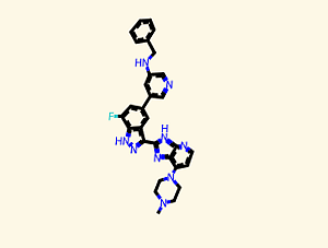 CN1CCN(c2ccnc3[nH]c(-c4n[nH]c5c(F)cc(-c6cncc(NCc7ccccc7)c6)cc45)nc23)CC1